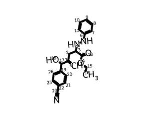 C=C(CC(NNc1ccccc1)C(=O)OCC)C(O)c1ccc(C#N)cc1